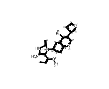 C=C1NC(N)=C(/C(=C\C)OCC)N1c1ccc2ncc(-c3ccoc3)c(CC)c2c1